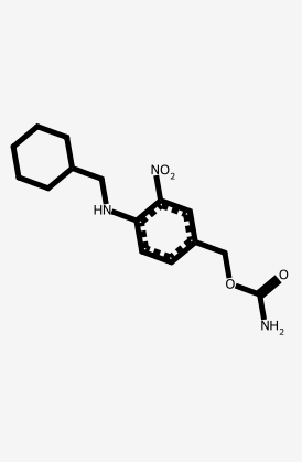 NC(=O)OCc1ccc(NCC2CCCCC2)c([N+](=O)[O-])c1